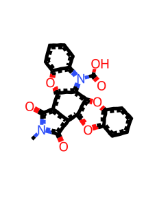 Cn1c(=O)c2c3oc4ccccc4oc3c3c(oc4ccccc4n3C(=O)O)c2c1=O